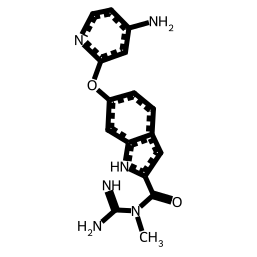 CN(C(=N)N)C(=O)c1cc2ccc(Oc3cc(N)ccn3)cc2[nH]1